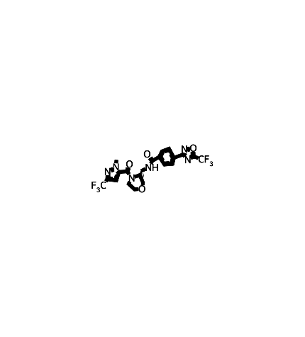 Cn1nc(C(F)(F)F)cc1C(=O)N1CCOC[C@@H]1CNC(=O)c1ccc(-c2noc(C(F)(F)F)n2)cc1